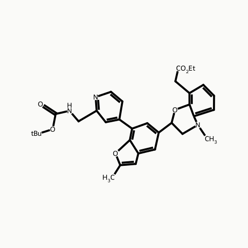 CCOC(=O)Cc1cccc2c1OC(c1cc(-c3ccnc(CNC(=O)OC(C)(C)C)c3)c3oc(C)cc3c1)CN2C